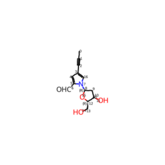 CC#Cc1cc(C=O)n([C@H]2C[C@@H](O)[C@@H](CO)O2)c1